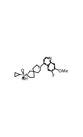 COc1cc2nccc(N3CCC4(CC3)CCN([S@](=N)(=O)C3CC3)C4)c2cc1F